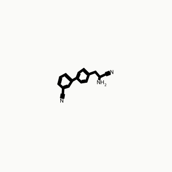 N#Cc1cccc(-c2ccc(CC(N)C#N)cc2)c1